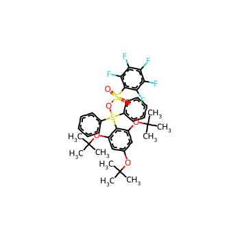 CC(C)(C)Oc1cc(OC(C)(C)C)c(S(OS(=O)(=O)c2c(F)c(F)c(F)c(F)c2F)(c2ccccc2)c2ccccc2)c(OC(C)(C)C)c1